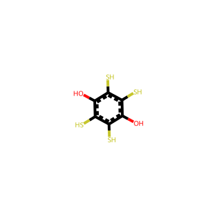 Oc1c(S)c(S)c(O)c(S)c1S